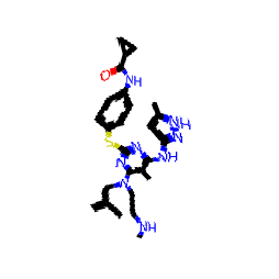 CNCCN(CC(C)C)c1nc(Sc2ccc(NC(=O)C3CC3)cc2)nc(Nc2cc(C)[nH]n2)c1C